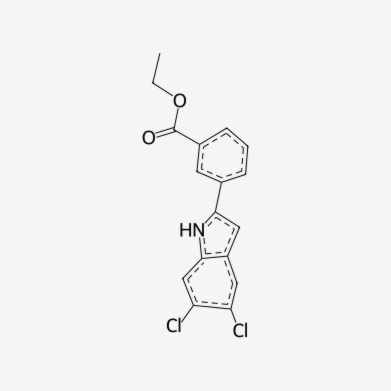 CCOC(=O)c1cccc(-c2cc3cc(Cl)c(Cl)cc3[nH]2)c1